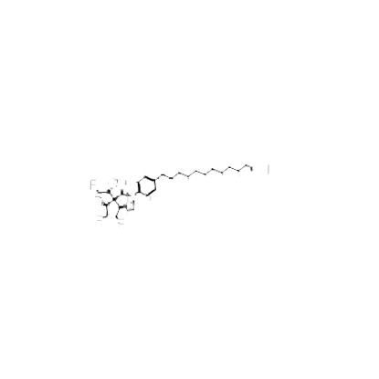 CCCCCCCCCCCCc1ccc(NC(=O)C(C(=O)CF)(C(=O)CF)C(=O)CF)cc1